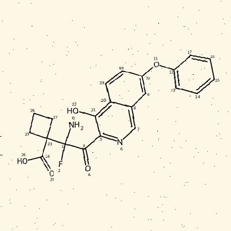 NC(F)(C(=O)c1ncc2cc(Oc3ccccc3)ccc2c1O)C1(C(=O)O)CCC1